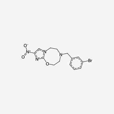 O=[N+]([O-])c1cn2c(n1)OCCN(Cc1cccc(Br)c1)CC2